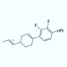 C/C=C/C1CC=C(c2ccc(CCC)c(F)c2F)CC1